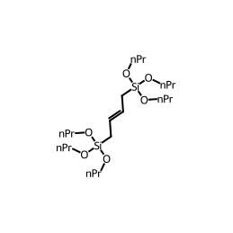 CCCO[Si](C/C=C/C[Si](OCCC)(OCCC)OCCC)(OCCC)OCCC